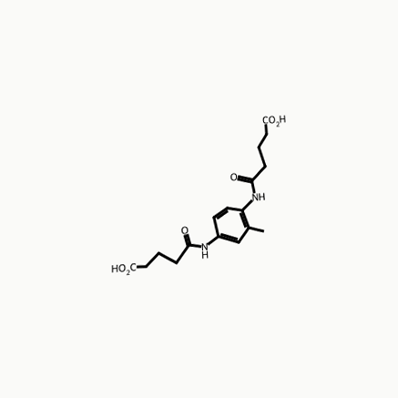 Cc1cc(NC(=O)CCCC(=O)O)ccc1NC(=O)CCCC(=O)O